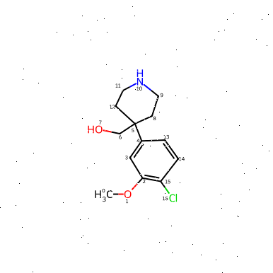 COc1cc(C2(CO)CCNCC2)ccc1Cl